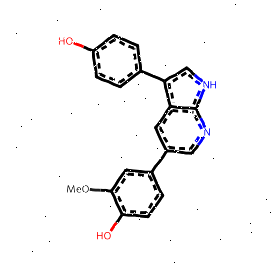 COc1cc(-c2cnc3[nH]cc(-c4ccc(O)cc4)c3c2)ccc1O